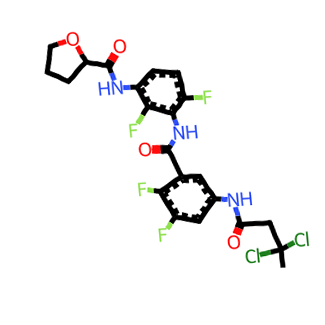 CC(Cl)(Cl)CC(=O)Nc1cc(F)c(F)c(C(=O)Nc2c(F)ccc(NC(=O)C3CCCO3)c2F)c1